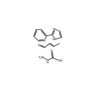 C/C=C/C=O.NNC(=O)O.c1ccc(-c2ncc[nH]2)nc1